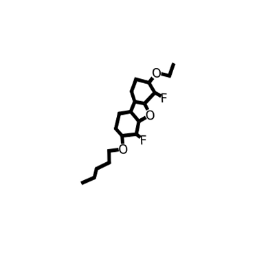 CCCCCOC1CCC2C3CCC(OCC)C(F)C3OC2C1F